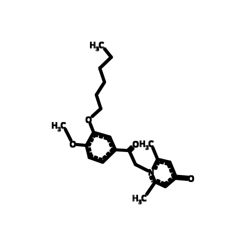 CCCCCCOc1cc(C(=O)Cn2c(C)cc(=O)cc2C)ccc1OC